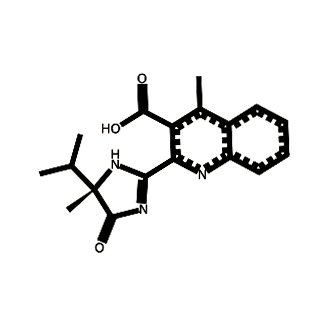 Cc1c(C(=O)O)c(C2=NC(=O)[C@](C)(C(C)C)N2)nc2ccccc12